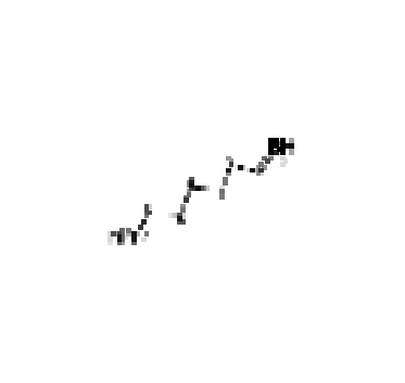 B=CCCCCCCCC